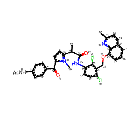 CC(=O)Nc1ccc(C(=O)c2ccc(C(C)C(=O)Nc3ccc(Cl)c(COc4cccc5ccc(C)nc45)c3Cl)n2C)cc1